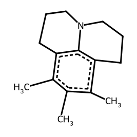 Cc1c(C)c2c3c(c1C)CCCN3CCC2